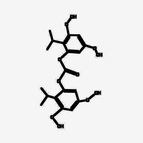 CC(C)c1c(OO)cc(OO)cc1OC(=O)Oc1cc(OO)cc(OO)c1C(C)C